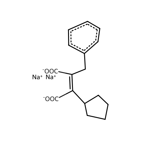 O=C([O-])/C(Cc1ccccc1)=C(\C(=O)[O-])C1CCCC1.[Na+].[Na+]